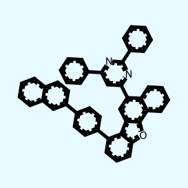 c1ccc(-c2cc(-c3cc4c(oc5cccc(-c6ccc(-c7ccc8ccccc8c7)cc6)c54)c4ccccc34)nc(-c3ccccc3)n2)cc1